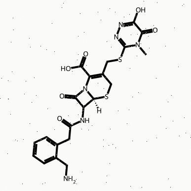 Cn1c(SCC2=C(C(=O)O)N3C(=O)C(NC(=O)Cc4ccccc4CN)[C@@H]3SC2)nnc(O)c1=O